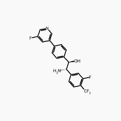 N[C@@H](c1ccc(C(F)(F)F)c(F)c1)[C@H](O)c1ccc(-c2cncc(F)c2)cc1